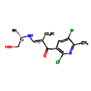 CCOC(=O)/C(=C\N[C@H](CO)C(C)C)C(=O)c1cc(Br)c(C)nc1Cl